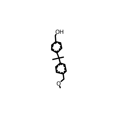 COCc1ccc(C(C)(C)c2ccc(CO)cc2)cc1